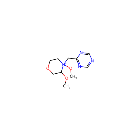 COC1COCC[N+]1(Cc1ncncn1)OC